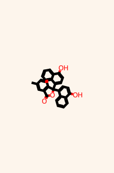 Cc1ccc2c(c1)C(=O)OC2(c1ccc(O)c2ccccc12)c1ccc(O)c2ccccc12